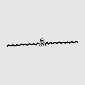 CCCCCCCCCCCCCCCCO[N+](=O)OCCCCCCCCCCCCCCCC